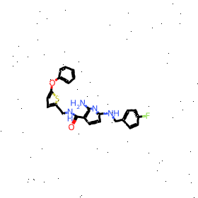 Nc1nc(NCc2ccc(F)cc2)ccc1C(=O)NCc1ccc(Oc2ccccc2)s1